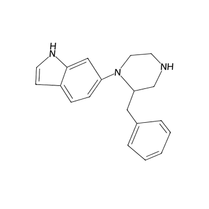 c1ccc(CC2CNCCN2c2ccc3cc[nH]c3c2)cc1